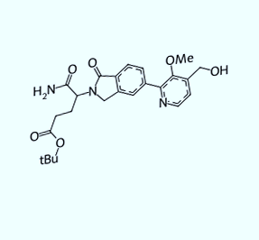 COc1c(CO)ccnc1-c1ccc2c(c1)CN(C(CCC(=O)OC(C)(C)C)C(N)=O)C2=O